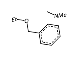 CCOCc1ccccc1.CNC